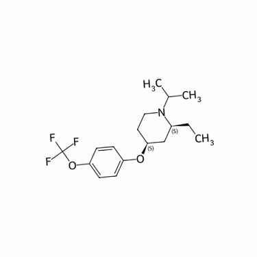 CC[C@H]1C[C@@H](Oc2ccc(OC(F)(F)F)cc2)CCN1C(C)C